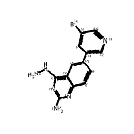 NNc1nc(N)nc2ccc(-c3cncc(Br)c3)cc12